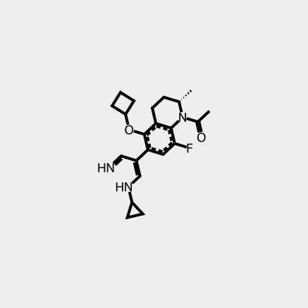 CC(=O)N1c2c(F)cc(/C(C=N)=C/NC3CC3)c(OC3CCC3)c2CC[C@@H]1C